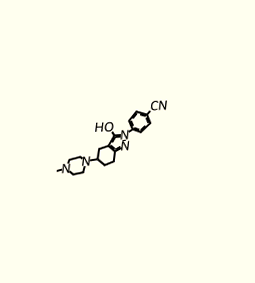 CN1CCN(C2CCc3nn(-c4ccc(C#N)cc4)c(O)c3C2)CC1